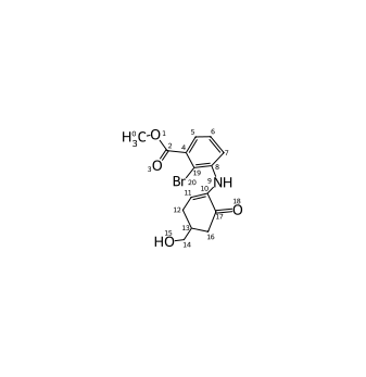 COC(=O)c1cccc(NC2=CCC(CO)CC2=O)c1Br